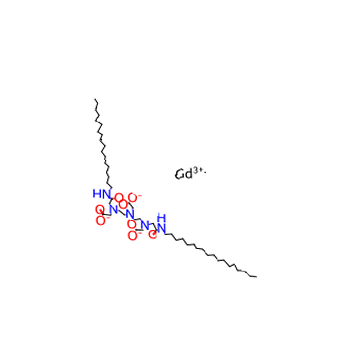 CCCCCCCCCCCCCCCCCCNC(=O)CN(CCN(CCN(CC(=O)[O-])CC(=O)NCCCCCCCCCCCCCCCCCC)CC(=O)[O-])CC(=O)[O-].[Gd+3]